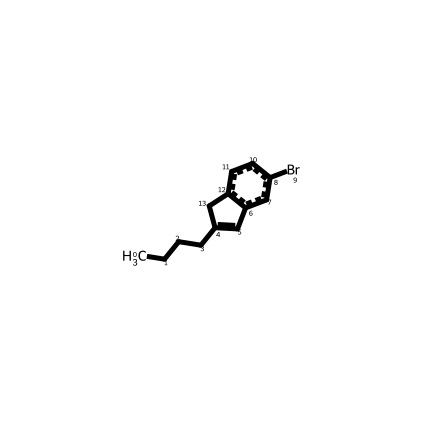 CCCCC1=Cc2cc(Br)ccc2C1